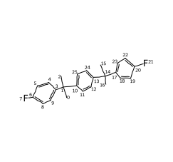 CC(C)(c1ccc(F)cc1)c1ccc(C(C)(C)c2ccc(F)cc2)cc1